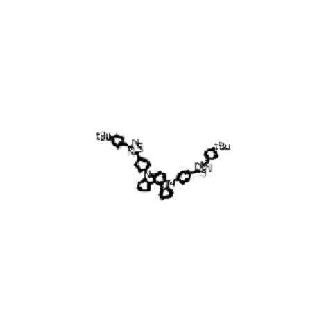 CC(C)(C)c1ccc(-c2nsc(-c3ccc(-n4c5ccccc5c5c6c7ccccc7n(-c7ccc(-c8nc(-c9ccc(C(C)(C)C)cc9)ns8)cc7)c6ccc54)cc3)n2)cc1